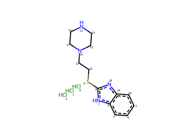 Cl.Cl.Cl.c1ccc2[nH]c(SCCN3CCNCC3)nc2c1